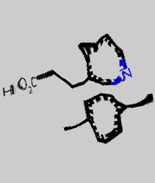 Cc1ccc(C)cc1.O=C(O)CCc1cccnc1